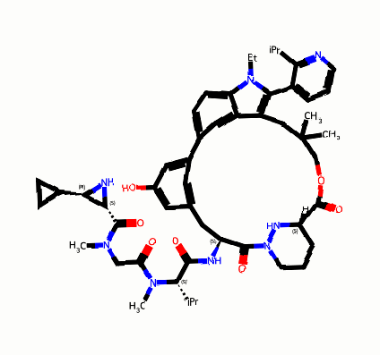 CCn1c(-c2cccnc2C(C)C)c2c3cc(ccc31)-c1cc(O)cc(c1)C[C@H](NC(=O)[C@H](C(C)C)N(C)C(=O)CN(C)C(=O)[C@H]1N[C@@H]1C1CC1)C(=O)N1CCC[C@H](N1)C(=O)OCC(C)(C)C2